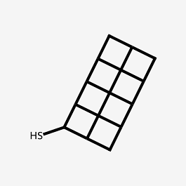 SC1C2CC3C4C5CC6CC7C8C1C23C48C657